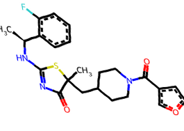 C[C@H](NC1=NC(=O)C(C)(CC2CCN(C(=O)c3ccoc3)CC2)S1)c1ccccc1F